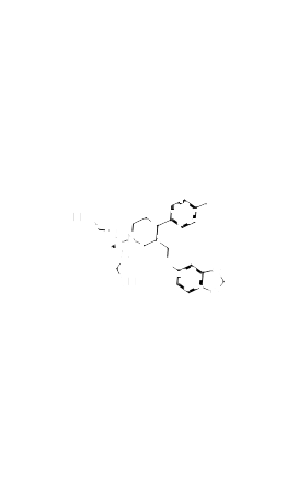 CCOP(=O)(OCC)N1CCC(c2ccc(F)cc2)C(COc2ccc3c(c2)OCO3)C1